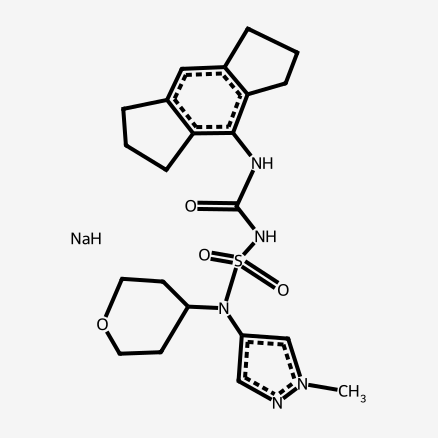 Cn1cc(N(C2CCOCC2)S(=O)(=O)NC(=O)Nc2c3c(cc4c2CCC4)CCC3)cn1.[NaH]